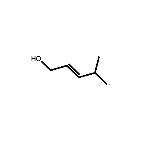 [CH2]C(C)C=CCO